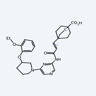 CCOc1ccccc1OC1CCCN(c2cncc(NC(=O)/C=C/C34CCC(C(=O)O)(CC3)CC4)n2)C1